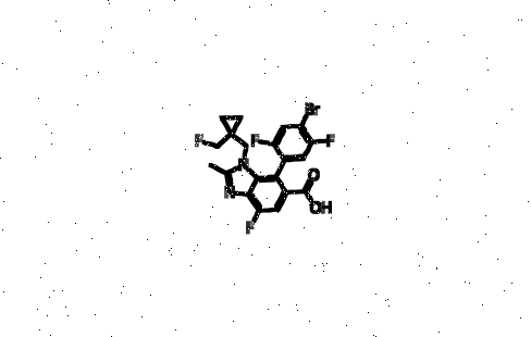 Cc1nc2c(F)cc(C(=O)O)c(-c3cc(F)c(Br)cc3F)c2n1CC1(CF)CC1